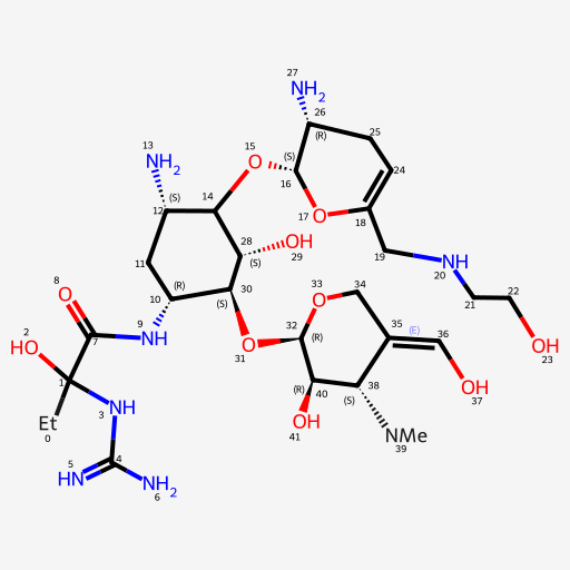 CCC(O)(NC(=N)N)C(=O)N[C@@H]1C[C@H](N)C(O[C@H]2OC(CNCCO)=CC[C@H]2N)[C@H](O)[C@H]1O[C@H]1OC/C(=C/O)[C@H](NC)[C@H]1O